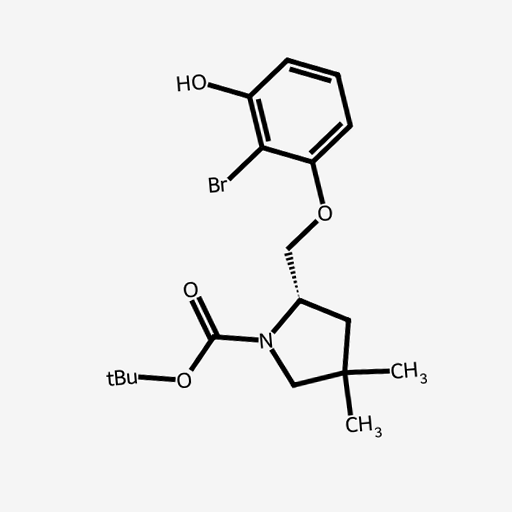 CC1(C)C[C@@H](COc2cccc(O)c2Br)N(C(=O)OC(C)(C)C)C1